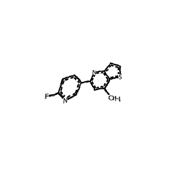 Oc1cc(-c2ccc(F)nc2)nc2ccsc12